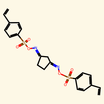 C=Cc1ccc(S(=O)(=O)O/N=C2\CC/C(=N\OS(=O)(=O)c3ccc(C=C)cc3)C2)cc1